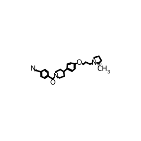 C[C@@H]1CCCN1CCCOc1ccc(C2CCN(C(=O)c3ccc(C#N)cc3)CC2)cc1